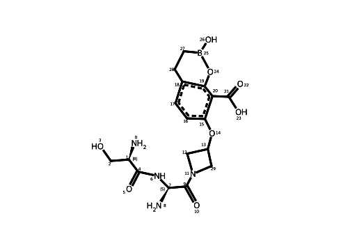 N[C@H](CO)C(=O)N[C@H](N)C(=O)N1CC(Oc2ccc3c(c2C(=O)O)OB(O)CC3)C1